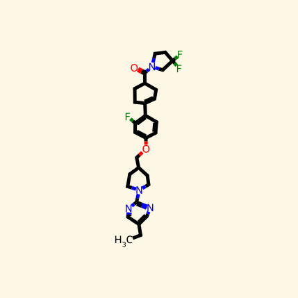 CCc1cnc(N2CCC(COc3ccc(C4=CCC(C(=O)N5CCC(F)(F)C5)CC4)c(F)c3)CC2)nc1